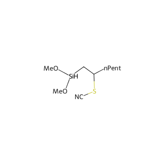 CCCCCC(C[SiH](OC)OC)SC#N